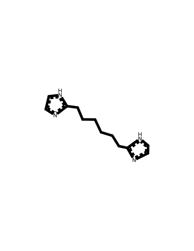 c1c[nH]c(CCCCCCc2ncc[nH]2)n1